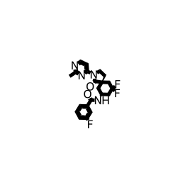 Cc1nccc(N2CC[C@@]3(C[C@H](NC(=O)c4cccc(F)c4)CC(F)(F)C3)C2=O)n1